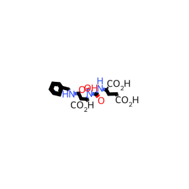 O=C(O)CC[C@@H](NC(=O)N(O)C(CC(=O)NCc1ccccc1)C(=O)O)C(=O)O